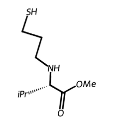 COC(=O)[C@@H](NCCCS)C(C)C